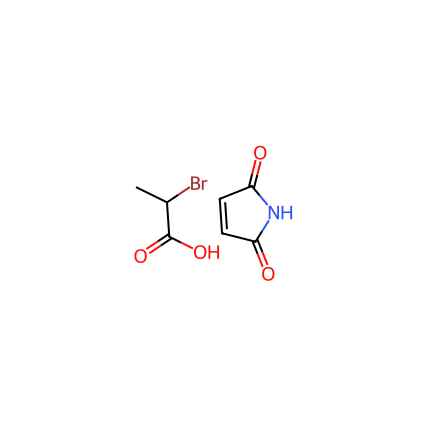 CC(Br)C(=O)O.O=C1C=CC(=O)N1